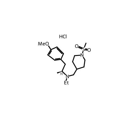 CCN(CC1CCN(S(C)(=O)=O)CC1)[C@@H](C)Cc1ccc(OC)cc1.Cl